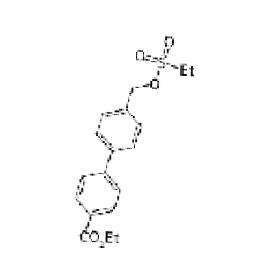 CCOC(=O)c1ccc(-c2ccc(COS(=O)(=O)CC)cc2)cc1